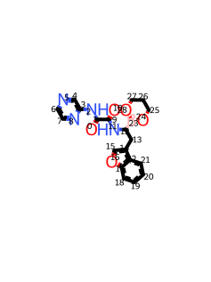 O=C(Nc1cnccn1)C(=O)NC(Cc1coc2ccccc12)B1OCCCO1